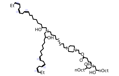 CC/C=C\C/C=C\C/C=C\CCCCCCC(O)CN(CCCCSSCCN1CCN(CCOC(=O)CCCN(CC(O)CCCCCCCC)CC(O)CCCCCCCC)CC1)CC(O)CCCCCC/C=C\C/C=C\C/C=C\CC